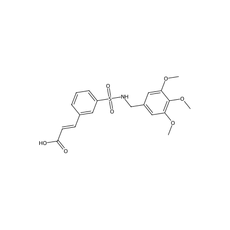 COc1cc(CNS(=O)(=O)c2cccc(/C=C/C(=O)O)c2)cc(OC)c1OC